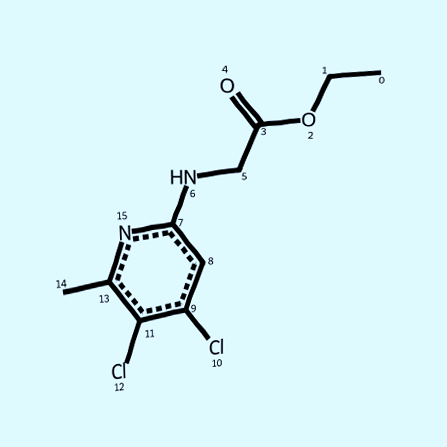 CCOC(=O)CNc1cc(Cl)c(Cl)c(C)n1